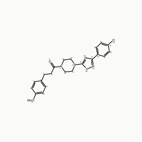 COc1ccc(CCC(=O)N2CCN(c3nc(-c4ccc(Cl)cc4)no3)CC2)cc1